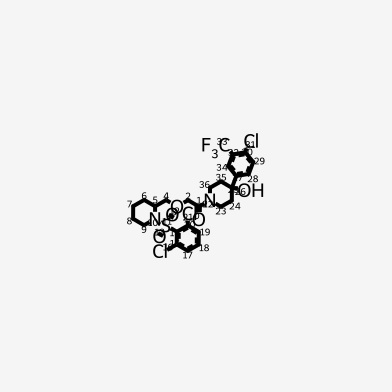 O=C(COCC1CCCCN1S(=O)(=O)c1c(Cl)cccc1Cl)N1CCC(O)(c2ccc(Cl)c(C(F)(F)F)c2)CC1